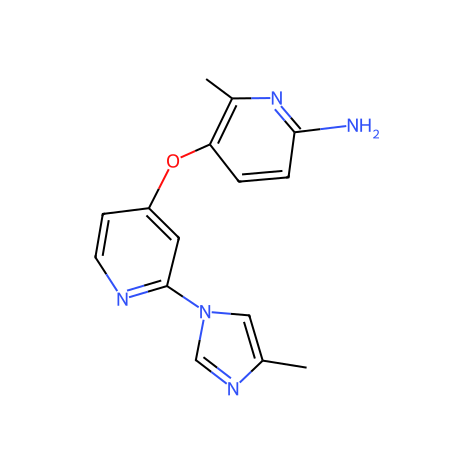 Cc1cn(-c2cc(Oc3ccc(N)nc3C)ccn2)cn1